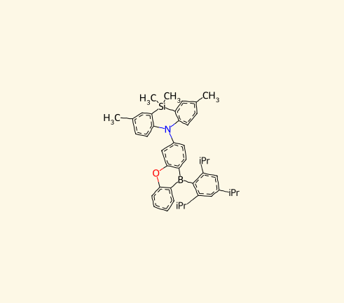 Cc1ccc2c(c1)[Si](C)(C)c1cc(C)ccc1N2c1ccc2c(c1)Oc1ccccc1B2c1c(C(C)C)cc(C(C)C)cc1C(C)C